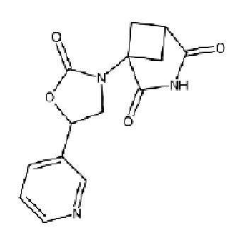 O=C1NC(=O)C2(N3CC(c4cccnc4)OC3=O)CC1C2